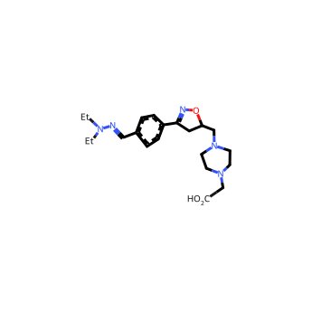 CCN(CC)N=Cc1ccc(C2=NOC(CN3CCN(CC(=O)O)CC3)C2)cc1